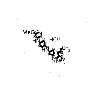 COc1cncc(Nc2ccc(CN[C@H]3CC[C@@H](N(C)c4ncnc5sc(CC(F)(F)F)cc45)C3)cc2)c1.Cl